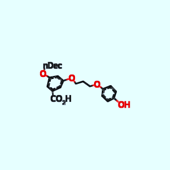 CCCCCCCCCCOc1cc(OCCCOc2ccc(O)cc2)cc(C(=O)O)c1